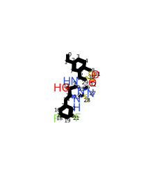 CCc1ccc2c(c1)C(NCC(O)C(Cc1cc(F)cc(F)c1)Nc1ncns1)CS(=O)(=O)C2